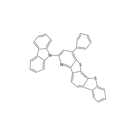 c1ccc(-c2cc(-n3c4ccccc4c4ccccc43)nc3c2sc2c3ccc3c4ccccc4sc32)cc1